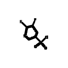 O=S(=O)(Cl)c1cnc(F)c(F)c1